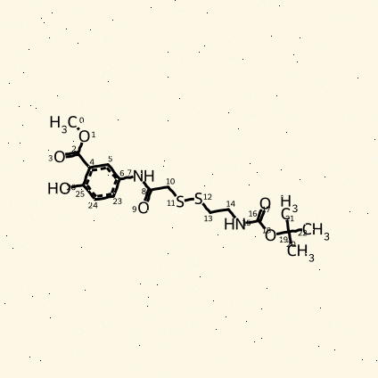 COC(=O)c1cc(NC(=O)CSSCCNC(=O)OC(C)(C)C)ccc1O